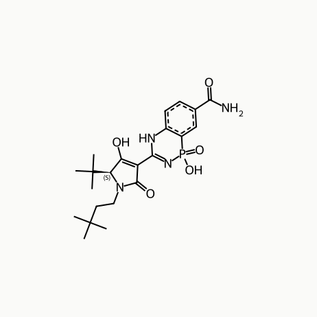 CC(C)(C)CCN1C(=O)C(C2=NP(=O)(O)c3cc(C(N)=O)ccc3N2)=C(O)[C@@H]1C(C)(C)C